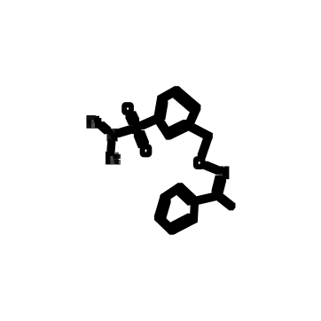 CCN(CC)S(=O)(=O)c1cccc(CON=C(C)c2ccccc2)c1